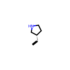 C=C[C@H]1CCNC1